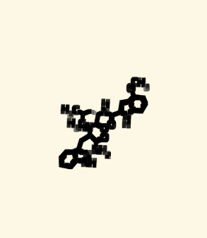 COc1cccc2[nH]c(C(=O)N[C@@H](CC(C)C)C(=O)NC(Cc3n[nH]c4ccccc34)C(N)=O)cc12